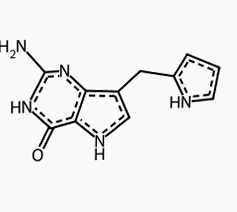 Nc1nc2c(Cc3ccc[nH]3)c[nH]c2c(=O)[nH]1